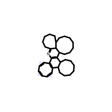 C1=C\C=C/C2=C(\C=C/1)C1=C(C3CCCCCCCC23)C2CCCCCCCC3CCCCCC(=N1)C32